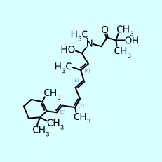 CC1=C(/C=C/C(C)=C\C=C\C(C)=C\C(O)N(C)CC(=O)C(C)(C)O)C(C)(C)CCC1